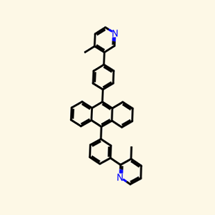 Cc1ccncc1-c1ccc(-c2c3ccccc3c(-c3cccc(-c4ncccc4C)c3)c3ccccc23)cc1